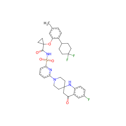 Cc1ccc(C2CCC(F)(F)CC2)c(OC2(C(=O)NS(=O)(=O)c3cccc(N4CCC5(CC4)CC(=O)c4cc(F)ccc4N5)n3)CC2)c1